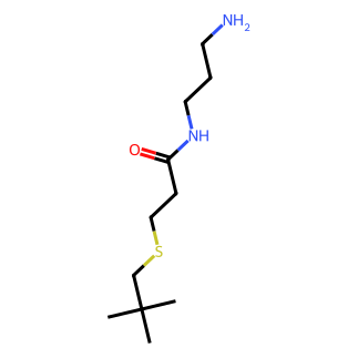 CC(C)(C)CSCCC(=O)NCCCN